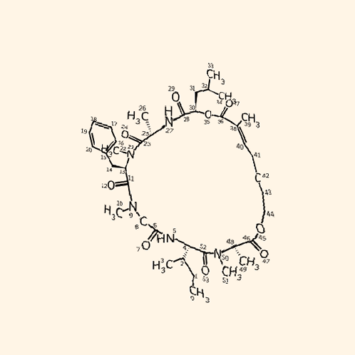 CCC(C)[C@@H]1NC(=O)CN(C)C(=O)[C@@H](Cc2ccccc2)N(C)C(=O)[C@H](C)NC(=O)[C@@H](CC(C)C)OC(=O)/C(C)=C/CCCCOC(=O)[C@H](C)N(C)C1=O